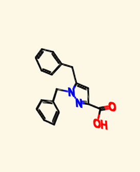 O=C(O)c1cc(Cc2ccccc2)n(Cc2ccccc2)n1